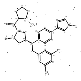 CC[C@@H]1C[C@H](N(Cc2cc(C(F)(F)F)cc(C(F)(F)F)c2)c2ncc(-c3cnn(C)c3)cn2)CN1C(=O)C1CCC[C@@H]1C(=O)O